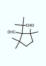 CC(C)([C]=O)C1(C=O)C(C)(C)CCC1(C)C